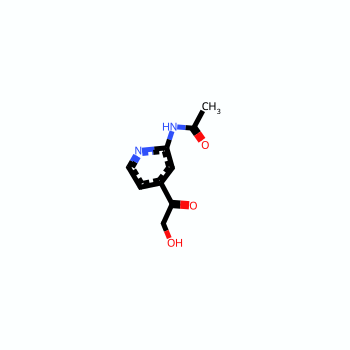 CC(=O)Nc1cc(C(=O)CO)ccn1